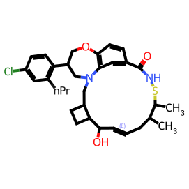 CCCc1cc(Cl)ccc1C1COc2ccc3cc2N(C1)CC1CCC1C(O)/C=C/CC(C)C(C)SNC3=O